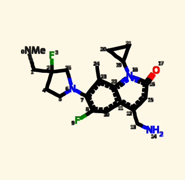 CNCC1(F)CCN(c2c(F)cc3c(CN)cc(=O)n(C4CC4)c3c2C)C1